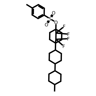 Cc1ccc(S(=O)(=O)OC23CCC(C4CCC(C5CCC(C)CC5)CC4)(CC2)C(F)(F)C3(F)F)cc1